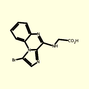 O=C(O)CNc1nc2ccccc2n2c(Br)cnc12